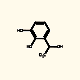 Oc1cccc(C(O)C(Cl)(Cl)Cl)c1O